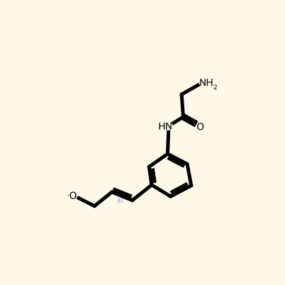 NCC(=O)Nc1cccc(/C=C/C[O])c1